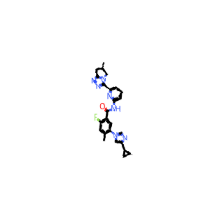 Cc1cc(F)c(C(=O)Nc2cccc(-c3nnc4n3C[C@H](C)C4)n2)cc1-n1cnc(C2CC2)c1